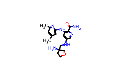 Cc1cc(C)nc(Nc2cc(NCC3(N)CCOC3)cnc2C(N)=O)c1